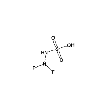 O=S(=O)(O)NN(F)F